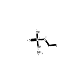 CCSP(O)(O)=S.N